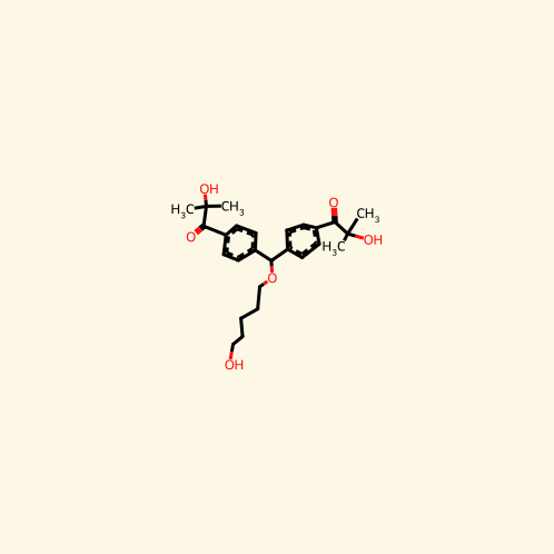 CC(C)(O)C(=O)c1ccc(C(OCCCCCO)c2ccc(C(=O)C(C)(C)O)cc2)cc1